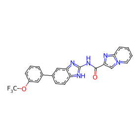 O=C(Nc1nc2cc(-c3cccc(OC(F)(F)F)c3)ccc2[nH]1)c1cn2ccccc2n1